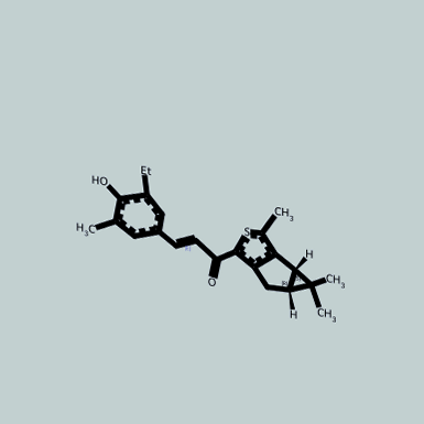 CCc1cc(/C=C/C(=O)c2sc(C)c3c2C[C@@H]2[C@H]3C2(C)C)cc(C)c1O